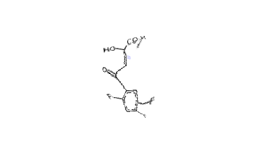 O=C(O)/C(O)=C/C(=O)c1cc(F)c(F)cc1F